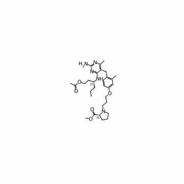 CCC[C@@H](CCOC(C)=O)Nc1nc(N)nc(C)c1Cc1ccc(OCCCN2CCC[C@H]2C(=O)OC)cc1C